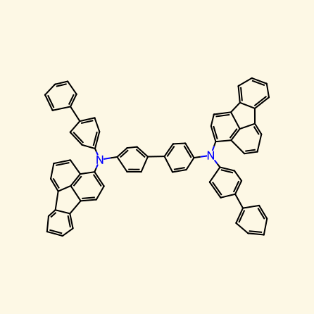 c1ccc(-c2ccc(N(c3ccc(-c4ccc(N(c5ccc(-c6ccccc6)cc5)c5ccc6c7c(cccc57)-c5ccccc5-6)cc4)cc3)c3ccc4c5c(cccc35)-c3ccccc3-4)cc2)cc1